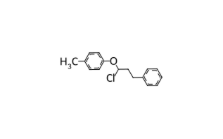 Cc1ccc(OC(Cl)CCc2ccccc2)cc1